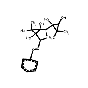 CC1(C)C(O)[C@@]1(O)[C@H]1OC(OSc2ccccc2)[C@]2(O)C(C)(C)[C@]12O